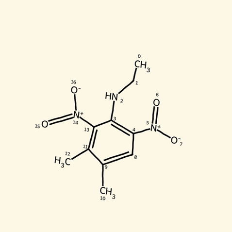 CCNc1c([N+](=O)[O-])cc(C)c(C)c1[N+](=O)[O-]